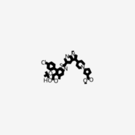 COC(=O)C1CCC(N2CCC(c3cn(C)c4ncc(-c5nc6cc(C)c([C@H](OC(C)(C)C)C(=O)O)c(-c7ccc(Cl)cc7)c6s5)cc34)CC2)C1